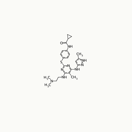 Cc1cc(Nc2nc(Sc3ccc(NC(=O)C4CC4)cc3)nc(NCCN(C)C)c2C)n[nH]1